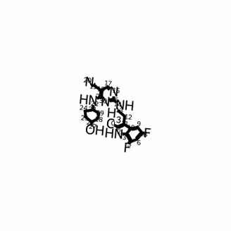 Cc1[nH]c2c(F)cc(F)cc2c1CCNc1ncc(C#N)c(NC2CCC(O)CC2)n1